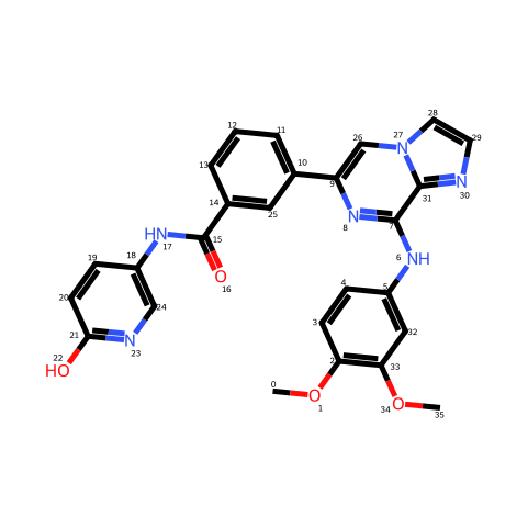 COc1ccc(Nc2nc(-c3cccc(C(=O)Nc4ccc(O)nc4)c3)cn3ccnc23)cc1OC